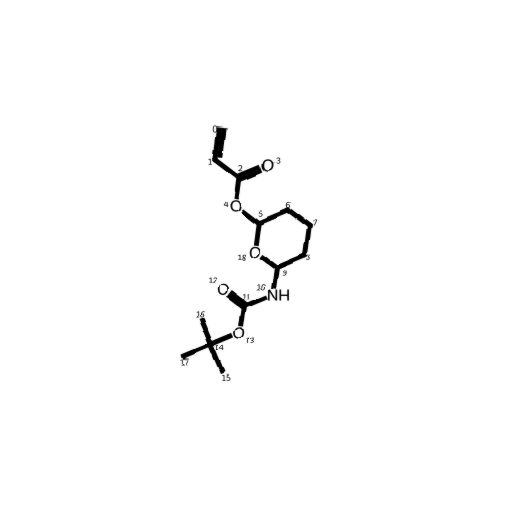 C=CC(=O)OC1CCCC(NC(=O)OC(C)(C)C)O1